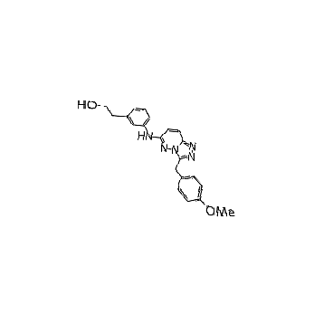 COc1ccc(Cc2nnc3ccc(Nc4cccc(CCO)c4)nn23)cc1